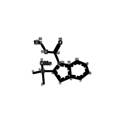 CO[Si](C)(C)c1cc2ccccc2n1C(=O)OC(C)(C)C